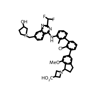 COc1cc(-c2cccc(-c3cccc(Nc4nc(C(F)F)nc5cc(CN6CCC(O)C6)ccc45)c3C)c2Cl)cc2c1C(N1CC(C(=O)O)C1)CC2